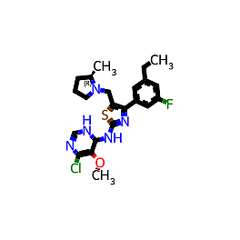 CCc1cc(F)cc(-c2nc(NC3NC=NC(Cl)=C3OC)sc2CN2CCC[C@H]2C)c1